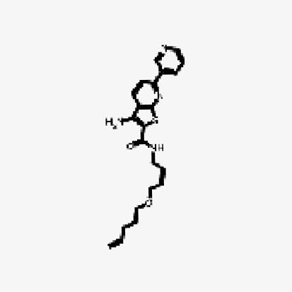 C=CCCCOC/C=C\CNC(=O)c1sc2nc(-c3cccnc3)ccc2c1N